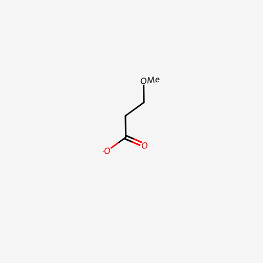 [CH2]OCCC([O])=O